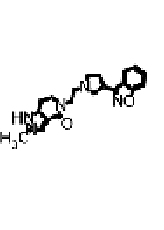 CN1C=C2C(=O)N(CCN3CCC(c4noc5ccccc45)C3)CCC2N1